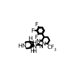 Fc1ccc(C2CCC(C(F)(F)F)n3nc(N[C@@H]4[C@@H]5CC[C@H]4CNC5)nc32)c(F)c1F